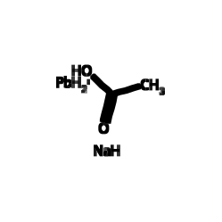 CC(=O)O.[NaH].[PbH2]